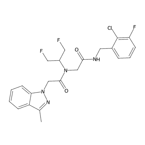 Cc1nn(CC(=O)N(CC(=O)NCc2cccc(F)c2Cl)C(CF)CF)c2ccccc12